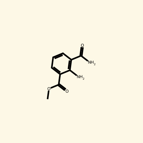 COC(=O)c1cccc(C(N)=O)c1N